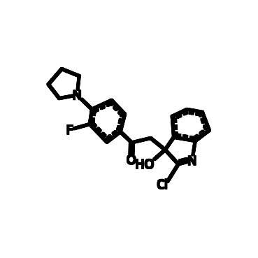 O=C(CC1(O)C(Cl)=Nc2ccccc21)c1ccc(N2CCCC2)c(F)c1